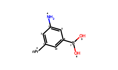 CCCc1cc(N)cc(B(O)O)c1